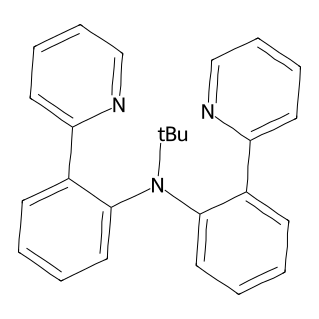 CC(C)(C)N(c1ccccc1-c1ccccn1)c1ccccc1-c1ccccn1